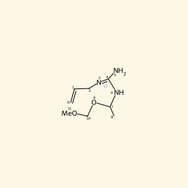 C=CC/N=C(/N)NC(C)OCOC